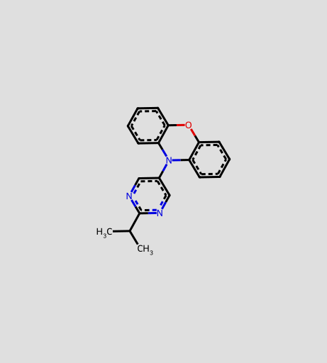 CC(C)c1ncc(N2c3ccccc3Oc3ccccc32)cn1